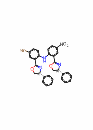 O=[N+]([O-])c1ccc(Nc2ccc(Br)cc2C2=N[C@H](c3ccccc3)CO2)c(C2=N[C@H](c3ccccc3)CO2)c1